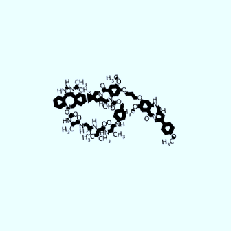 COc1ccc(C2=CN3C(=O)c4cc(OC)c(OCCCOc5cc6c(cc5OC)C(=O)N5CC7(CC7)C[C@H]5C(O)N6C(=O)OCc5ccc(NC(=O)[C@H](C)NC(=O)[C@@H](NC(=O)CNC(=O)C(C)NC(=O)ON6Cc7ccccc7C7=C(NNN7C(C)C)c7ccccc76)C(C)C)cc5)cc4NC[C@@H]3C2)cc1